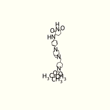 CC(C)(C)OC(=O)N1CCC(CN2CC3CC2CN(c2ccc(NC4CCC(=O)NC4=O)cc2)C3)CC1